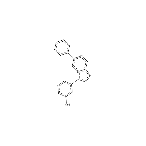 Oc1cccc(-c2cnc3cnc(-c4ccccc4)cn23)c1